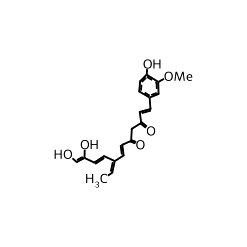 C/C=C(/C=C/C(=O)CC(=O)/C=C/c1ccc(O)c(OC)c1)\C=C\C(O)=C\O